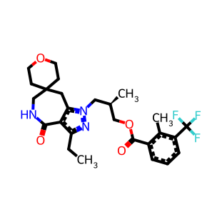 CCc1nn(C[C@@H](C)COC(=O)c2cccc(C(F)(F)F)c2C)c2c1C(=O)NCC1(CCOCC1)C2